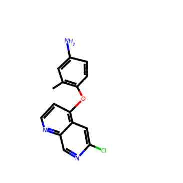 Cc1cc(N)ccc1Oc1ccnc2cnc(Cl)cc12